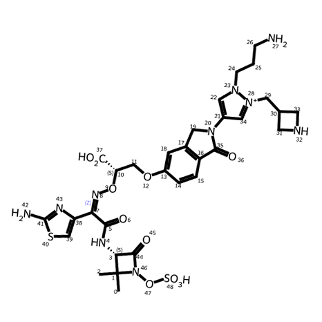 CC1(C)[C@H](NC(=O)/C(=N\O[C@@H](COc2ccc3c(c2)CN(c2cn(CCCN)[n+](CC4CNC4)c2)C3=O)C(=O)O)c2csc(N)n2)C(=O)N1OS(=O)(=O)O